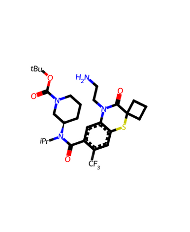 CC(C)N(C(=O)c1cc2c(cc1C(F)(F)F)SC1(CCC1)C(=O)N2CCN)[C@@H]1CCCN(C(=O)OC(C)(C)C)C1